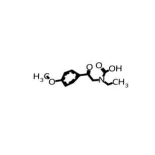 CCN(CC(=O)c1ccc(OC)cc1)C(=O)O